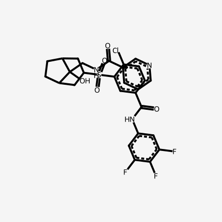 O=C(NCC1(O)C2CCC1CC(S(=O)(=O)c1cc(C(=O)Nc3cc(F)c(F)c(F)c3)ccc1Cl)C2)c1cccnc1